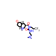 CN(C)CCNC(=O)N(CCC(F)(F)F)C(=O)[C@@H]1C[C@@H]2CC(=O)CC[C@H]2N(C)C1